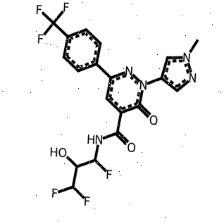 Cn1cc(-n2nc(-c3ccc(C(F)(F)F)cc3)cc(C(=O)NC(F)C(O)C(F)F)c2=O)cn1